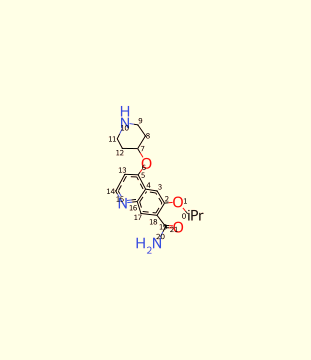 CC(C)Oc1cc2c(OC3CCNCC3)ccnc2cc1C(N)=O